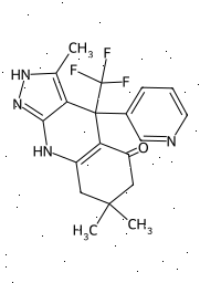 Cc1[nH]nc2c1C(c1cccnc1)(C(F)(F)F)C1=C(CC(C)(C)CC1=O)N2